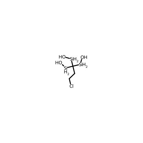 O[SiH2]C(CCCl)([SiH2]O)[SiH2]O